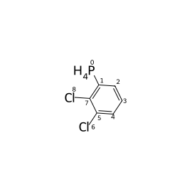 [PH4]c1cccc(Cl)c1Cl